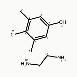 Cc1cc(O)cc(C)c1Cl.NCCN